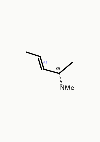 C/C=C/[C@H](C)NC